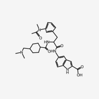 CC(=O)N(C)c1cccc(CC(NC(=O)C2CCC(CN(C)C)CC2)C(=O)Nc2ccc3[nH]c(C(=O)O)cc3c2)c1